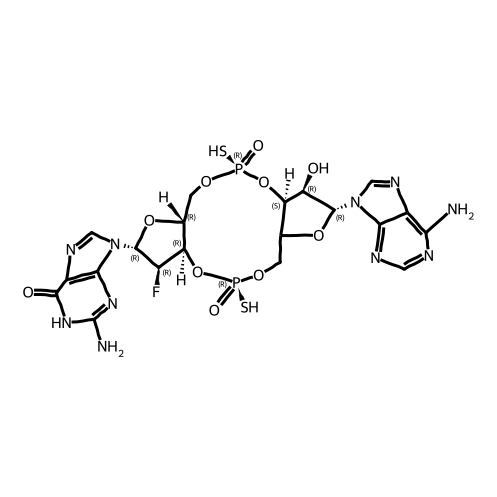 Nc1nc2c(ncn2[C@@H]2O[C@@H]3CO[P@@](=O)(S)O[C@@H]4C(CO[P@@](=O)(S)O[C@H]3[C@H]2F)O[C@@H](n2cnc3c(N)ncnc32)[C@@H]4O)c(=O)[nH]1